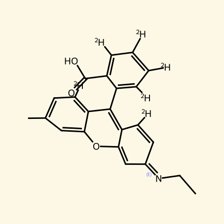 [2H]c1c/c(=N\CC)cc2oc3cc(C)cc([2H])c3c(-c3c([2H])c([2H])c([2H])c([2H])c3C(=O)O)c1-2